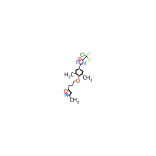 Cc1cc(CCCOc2c(C)cc(-c3noc(C(F)(F)Cl)n3)cc2C)on1